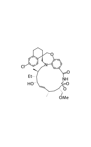 CC[C@H]1[C@@H](O)/C=C/[C@@H](C)C[C@@H](COC)S(=O)(=O)NC(=O)c2ccc3c(c2)N(C[C@@H]1C)C[C@@]1(CCCc2cc(Cl)ccc21)CO3